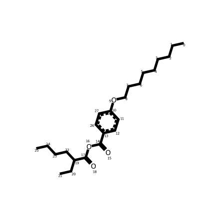 CCCCCCCCCOc1ccc(C(=O)OC(=O)C(CC)CCCC)cc1